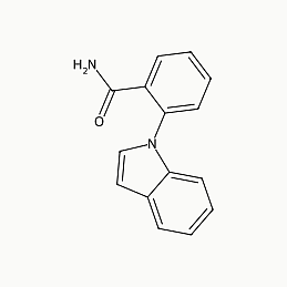 NC(=O)c1ccccc1-n1ccc2ccccc21